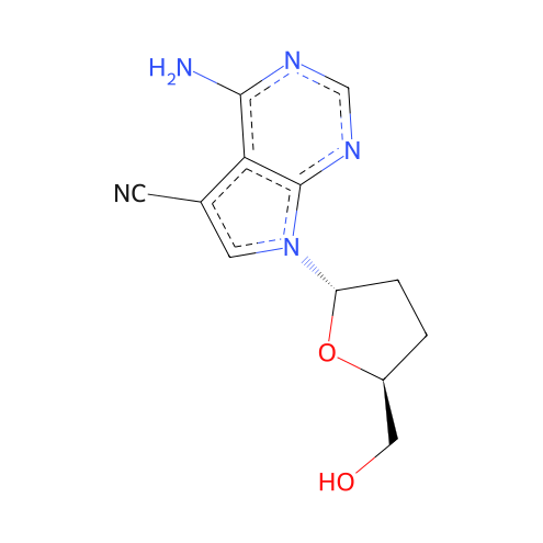 N#Cc1cn([C@@H]2CC[C@@H](CO)O2)c2ncnc(N)c12